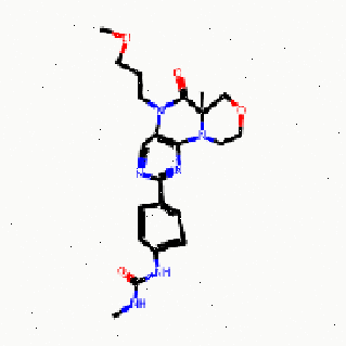 CNC(=O)Nc1ccc(-c2ncc3c(n2)N2CCOC[C@@]2(C)C(=O)N3CCCOC)cc1